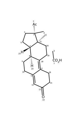 CC(=O)O.CC(=O)[C@@]1(C)CC[C@H]2[C@@H]3CCC4=CC(=O)CCC4=C3CC[C@@]21C